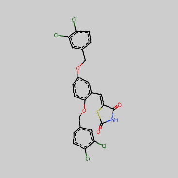 O=C1NC(=O)C(=Cc2cc(OCc3ccc(Cl)c(Cl)c3)ccc2OCc2ccc(Cl)c(Cl)c2)S1